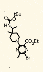 CCOC(=O)c1nc(Br)c(C)nc1N1CCC(C)(C(C)NC(=O)OC(C)(C)C)CC1